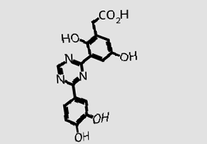 O=C(O)Cc1cc(O)cc(-c2ncnc(-c3ccc(O)c(O)c3)n2)c1O